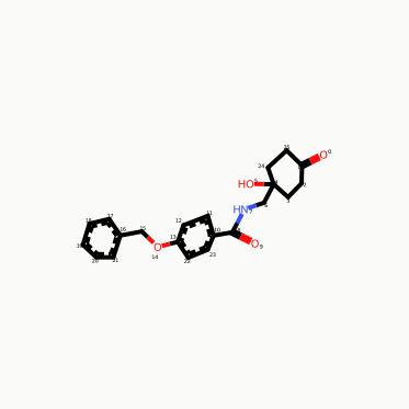 O=C1CCC(O)(CNC(=O)c2ccc(OCc3ccccc3)cc2)CC1